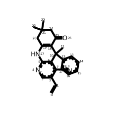 C=Cc1cnc2c(c1C#N)C(C)(c1ccccc1)C1=C(CC(C)(C)CC1=O)N2